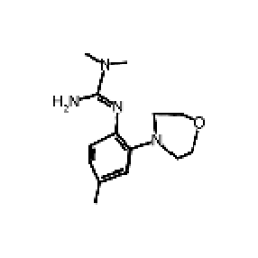 Cc1ccc(/N=C(\N)N(C)C)c(N2CCOCC2)c1